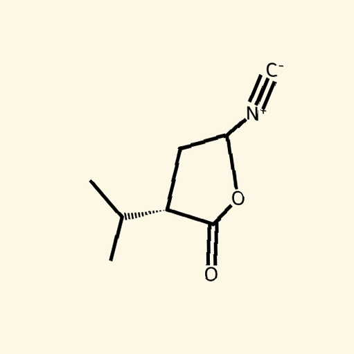 [C-]#[N+]C1C[C@@H](C(C)C)C(=O)O1